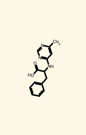 Cc1cc(NC(Cc2ccccc2)C(=O)O)ncn1